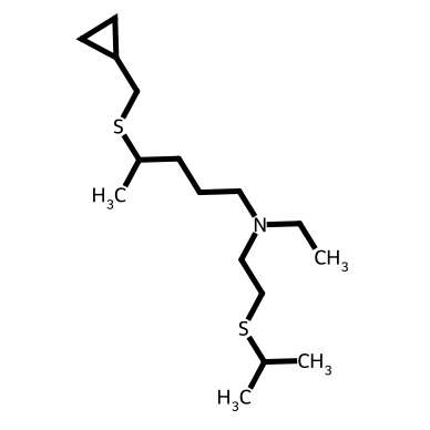 CCN(CCCC(C)SCC1CC1)CCSC(C)C